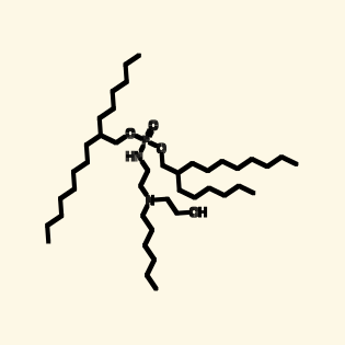 CCCCCCCCC(CCCCCC)COP(=O)(NCCN(CCO)CCCCCC)OCC(CCCCCC)CCCCCCCC